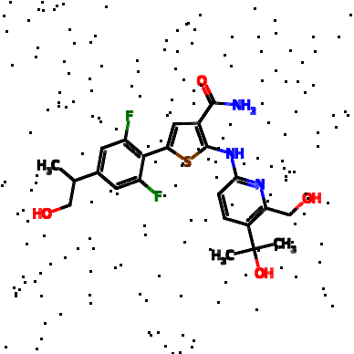 CC(CO)c1cc(F)c(-c2cc(C(N)=O)c(Nc3ccc(C(C)(C)O)c(CO)n3)s2)c(F)c1